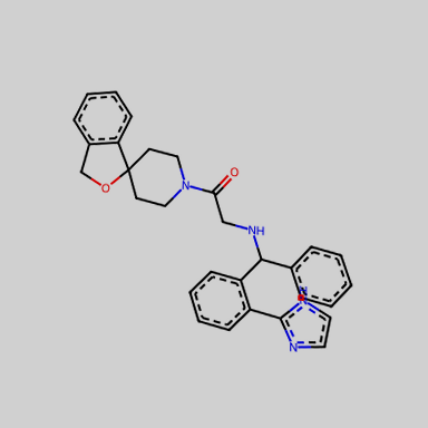 O=C(CNC(c1ccccc1)c1ccccc1-c1ncc[nH]1)N1CCC2(CC1)OCc1ccccc12